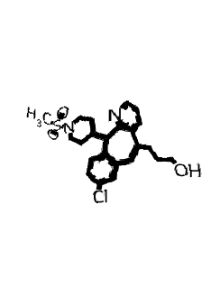 CS(=O)(=O)N1CCC(C2c3ccc(Cl)cc3C=C(CCCO)c3cccnc32)CC1